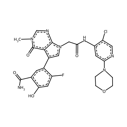 Cn1cnc2c(c(-c3cc(C(N)=O)c(O)cc3F)cn2CC(=O)Nc2cc(N3CCOCC3)ncc2Cl)c1=O